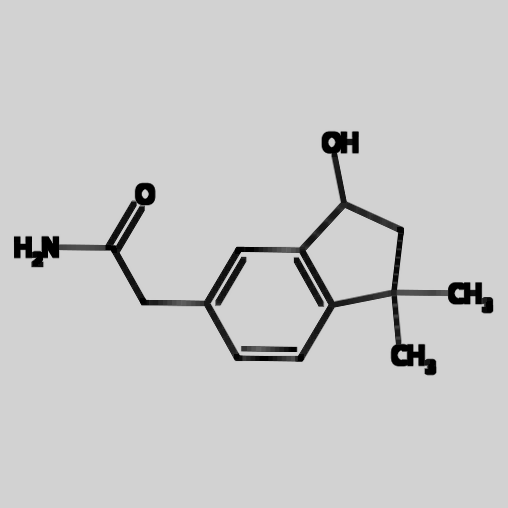 CC1(C)CC(O)c2cc(CC(N)=O)ccc21